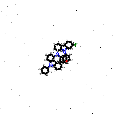 Fc1ccc2c3cccc(N(c4ccccc4)c4cccc5c4c4ccccc4n5-c4ccccc4)c3n(-c3ccccc3)c2c1